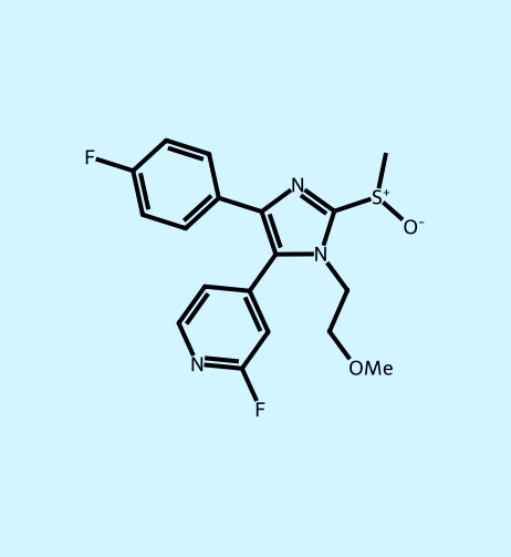 COCCn1c([S+](C)[O-])nc(-c2ccc(F)cc2)c1-c1ccnc(F)c1